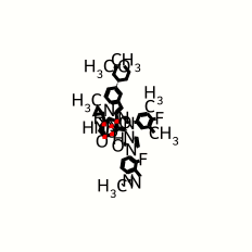 Cc1cc(-n2nc3c(c2-n2ccn(-c4ccc5c(cnn5C)c4F)c2=O)[C@@H]2CC[C@H](C3)N2C(=O)c2cc3cc([C@H]4CCOC(C)(C)C4)ccc3n2[C@@]2(c3noc(=O)[nH]3)C[C@@H]2C)cc(C)c1F